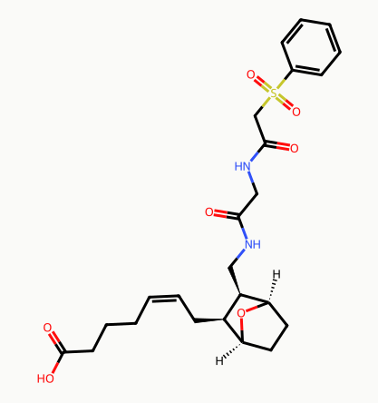 O=C(O)CCC/C=C\C[C@H]1[C@@H](CNC(=O)CNC(=O)CS(=O)(=O)c2ccccc2)[C@H]2CC[C@@H]1O2